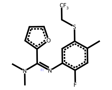 Cc1cc(F)c(/N=C(\c2ccco2)N(C)C)cc1SCC(F)(F)F